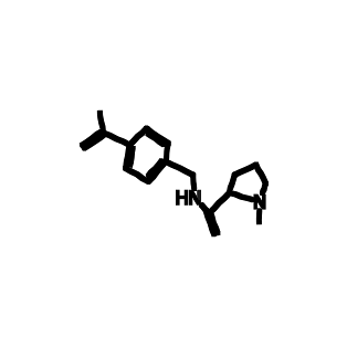 C=C(C)c1ccc(CNC(=C)C2CCCN2C)cc1